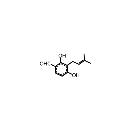 CC(C)=CCc1c(O)ccc(C=O)c1O